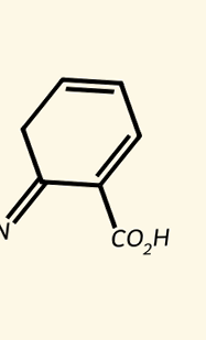 N=C1CC=CC=C1C(=O)O